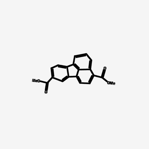 COC(=O)c1ccc2c(c1)-c1ccc(C(=O)OC)c3cccc-2c13